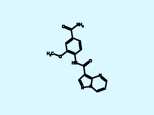 COc1cc(C(N)=O)ccc1NC(=O)c1cnn2cccnc12